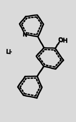 Oc1ccc(-c2ccccc2)cc1-c1ccccn1.[Li]